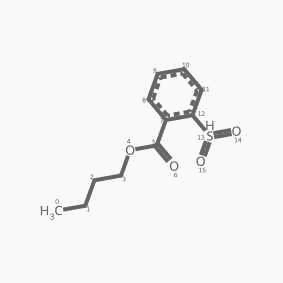 CCCCOC(=O)c1ccccc1[SH](=O)=O